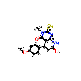 CCOc1ccc(C2CC(=O)Nc3nc(S)n(C(C)C)c(=O)c32)cc1